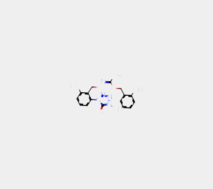 CC(=NOCc1c(C)cccc1-n1nnn(C)c1=O)OCc1ccccc1C